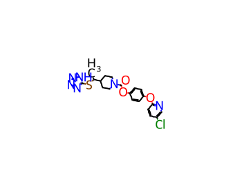 CC(Sc1nnn[nH]1)C1CCN(C(=O)Oc2ccc(Oc3ccc(Cl)cn3)cc2)CC1